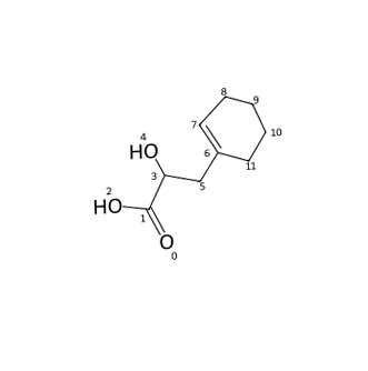 O=C(O)C(O)CC1=CCCCC1